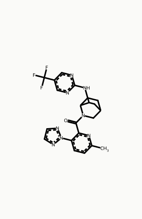 Cc1ccc(-n2nccn2)c(C(=O)N2CC3CCC2C(Nc2ncc(C(F)(F)F)cn2)C3)n1